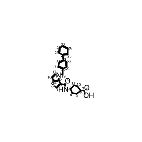 O=C(N[C@H]1CC[C@H](C(=O)O)CC1)c1csc2ccn(Cc3ccc(-c4ccccc4)cc3)c12